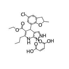 CCCC1=C(C(=O)OCC)C(c2cc(Cl)cc3c2OC(C)C3)c2c[nH]nc2N1.O=C(O)/C=C\C(=O)O